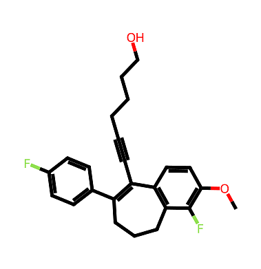 COc1ccc2c(c1F)CCCC(c1ccc(F)cc1)=C2C#CCCCCO